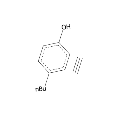 C#C.CCCCc1ccc(O)cc1